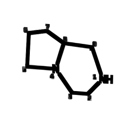 [C]1NCCN2CCCC12